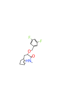 CNC(=O)C(CC1CCCC1)OCc1cc(F)cc(F)c1